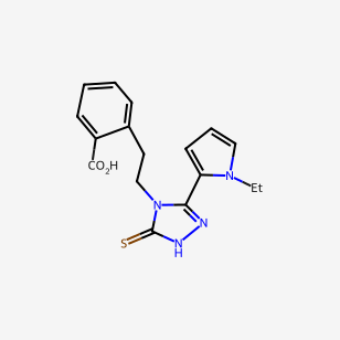 CCn1cccc1-c1n[nH]c(=S)n1CCc1ccccc1C(=O)O